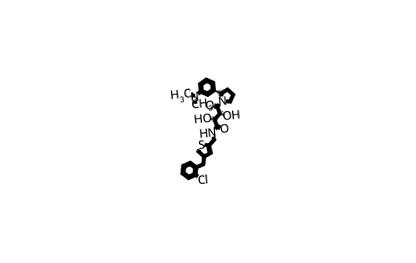 CN(C)c1cccc([C@H]2CCCN2C(=O)[C@H](O)[C@@H](O)C(=O)NCC2=CC(Cc3ccccc3Cl)CS2)c1